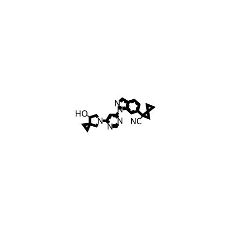 N#C[C@]1(c2ccc3cnn(-c4cc(N5C[C@@H](O)C6(CC6)C5)ncn4)c3c2)CC12CC2